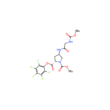 CC(C)(C)OC(=O)NCC(=O)N[C@@H]1C[C@@H](C(=O)Oc2c(F)c(F)c(F)c(F)c2F)N(C(=O)OC(C)(C)C)C1